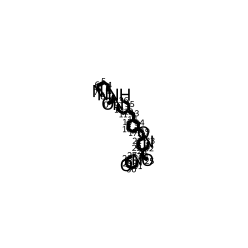 O=C(Nc1cccnn1)N1CCC(=Cc2cccc(Oc3ccc(C(=O)N4CCOCC4)cn3)c2)CC1